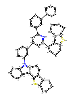 c1ccc(-c2cccc(-c3cc(-c4cccc(-n5c6ccccc6c6c7sc8ccccc8c7ccc65)c4)cc(-c4cccc5sc6ccccc6c45)n3)c2)cc1